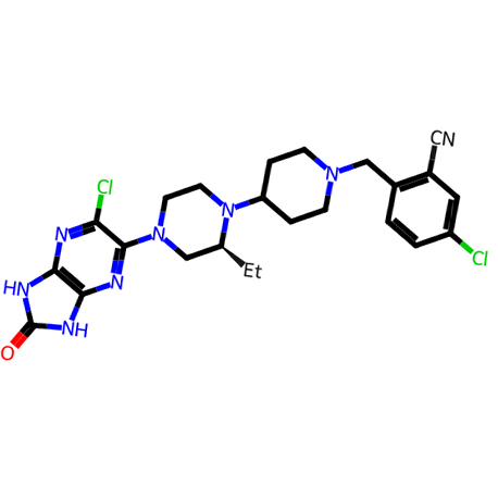 CC[C@H]1CN(c2nc3[nH]c(=O)[nH]c3nc2Cl)CCN1C1CCN(Cc2ccc(Cl)cc2C#N)CC1